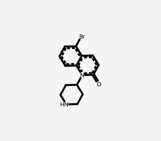 O=c1ccc2c(Br)cccc2n1C1CCNCC1